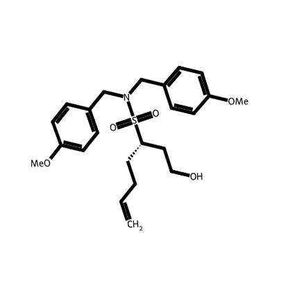 C=CCC[C@@H](CCO)S(=O)(=O)N(Cc1ccc(OC)cc1)Cc1ccc(OC)cc1